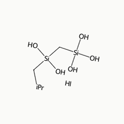 CC(C)C[Si](O)(O)C[Si](O)(O)O.I